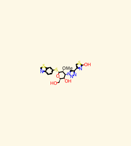 CO[C@@H]1[C@@H](n2cc(-c3csc(O)n3)nn2)[C@@H](O)[C@@H](CO)O[C@@H]1Sc1ccc2ncsc2c1